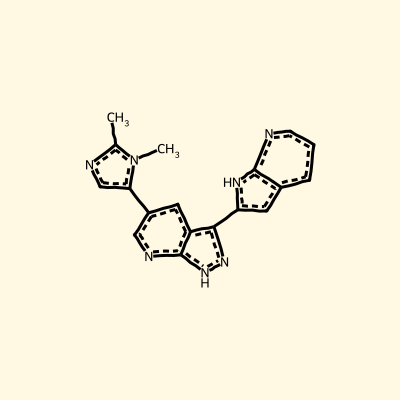 Cc1ncc(-c2cnc3[nH]nc(-c4cc5cccnc5[nH]4)c3c2)n1C